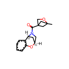 CC12CC(C(=O)N3C[C@@H]4C[C@H]3c3ccccc3O4)(CO1)C2